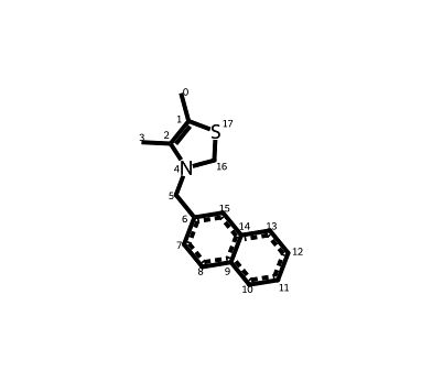 CC1=C(C)N(Cc2ccc3ccccc3c2)CS1